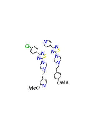 COc1cc(CCN2CCN(c3nc(-c4ccc(Cl)cc4)ns3)CC2)ccn1.COc1ccc(CCN2CCN(c3nc(-c4ccncc4)ns3)CC2)cc1